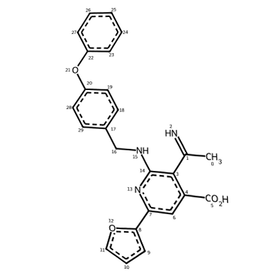 CC(=N)c1c(C(=O)O)cc(-c2ccco2)nc1NCc1ccc(Oc2ccccc2)cc1